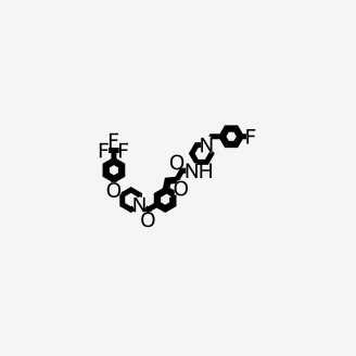 O=C(NC1CCN(Cc2ccc(F)cc2)CC1)c1cc2cc(C(=O)N3CCC(Oc4ccc(C(F)(F)F)cc4)CC3)ccc2o1